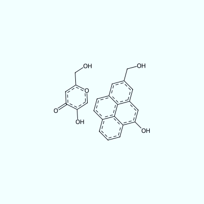 O=c1cc(CO)occ1O.OCc1cc2ccc3cccc4c(O)cc(c1)c2c34